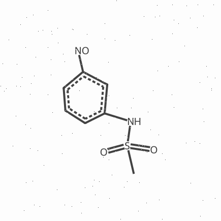 CS(=O)(=O)Nc1cccc(N=O)c1